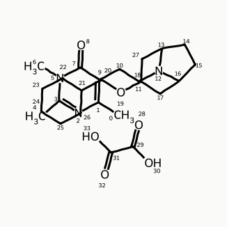 Cc1nc(C)n(C)c(=O)c1CCN1C2CCC1CC(OCC1CCCCC1)C2.O=C(O)C(=O)O